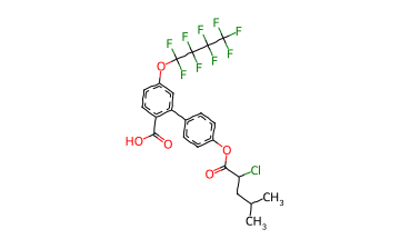 CC(C)CC(Cl)C(=O)Oc1ccc(-c2cc(OC(F)(F)C(F)(F)C(F)(F)C(F)(F)F)ccc2C(=O)O)cc1